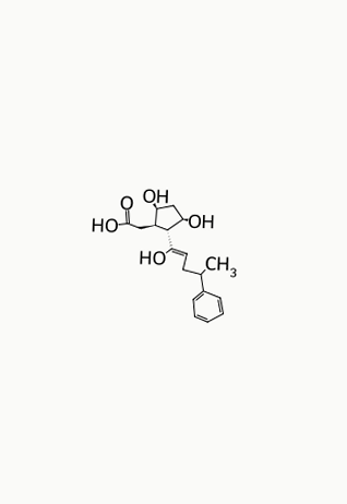 CC(CC=C(O)[C@@H]1[C@@H](CC(=O)O)[C@@H](O)C[C@H]1O)c1ccccc1